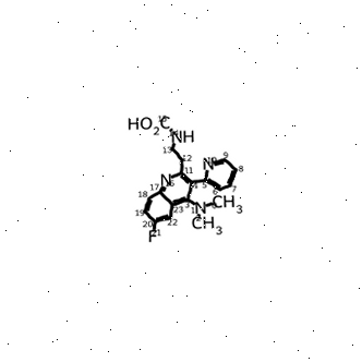 CN(C)c1c(-c2ccccn2)c(CCNC(=O)O)nc2ccc(F)cc12